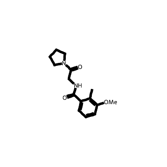 COc1cccc(C(=O)NCC(=O)N2CCCC2)c1C